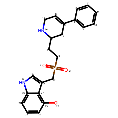 O=S(=O)(CCC1CC(c2ccccc2)=CCN1)Cc1c[nH]c2cccc(O)c12